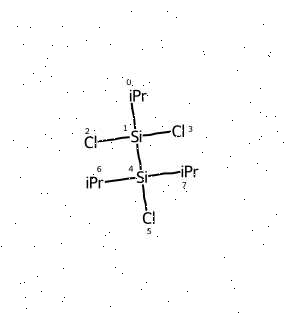 CC(C)[Si](Cl)(Cl)[Si](Cl)(C(C)C)C(C)C